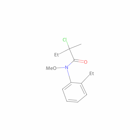 CCc1ccccc1N(OC)C(=O)C(C)(Cl)CC